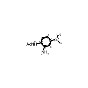 CC(=O)Nc1ccc([S+](C)[O-])cc1N